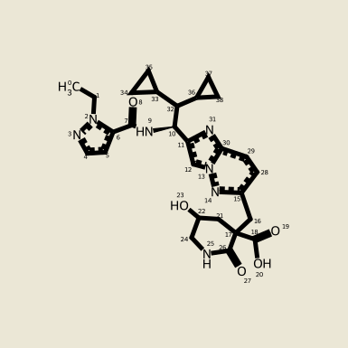 CCn1nccc1C(=O)N[C@H](c1cn2nc(CC3(C(=O)O)CC(O)CNC3=O)ccc2n1)C(C1CC1)C1CC1